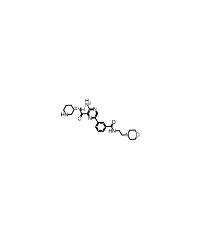 Nc1ncc(-c2cccc(C(=O)NCCN3CCOCC3)c2)nc1C(=O)N[C@H]1CCCNC1